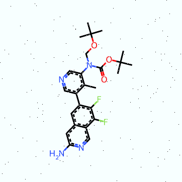 Cc1c(-c2cc3cc(N)ncc3c(F)c2F)cncc1N(COC(C)(C)C)C(=O)OC(C)(C)C